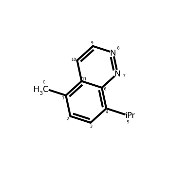 Cc1ccc(C(C)C)c2nnccc12